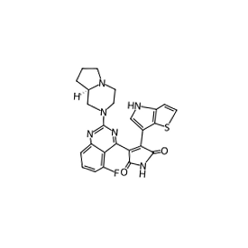 O=C1NC(=O)C(c2nc(N3CCN4CCC[C@@H]4C3)nc3cccc(F)c23)=C1c1c[nH]c2ccsc12